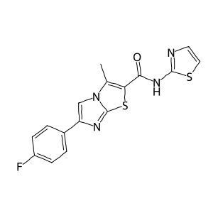 Cc1c(C(=O)Nc2nccs2)sc2nc(-c3ccc(F)cc3)cn12